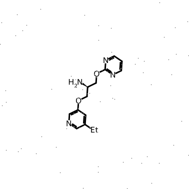 CCc1cncc(OC[C@@H](N)COc2ncccn2)c1